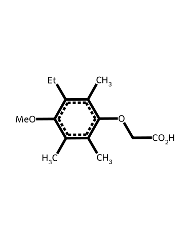 CCc1c(C)c(OCC(=O)O)c(C)c(C)c1OC